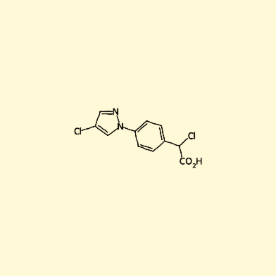 O=C(O)C(Cl)c1ccc(-n2cc(Cl)cn2)cc1